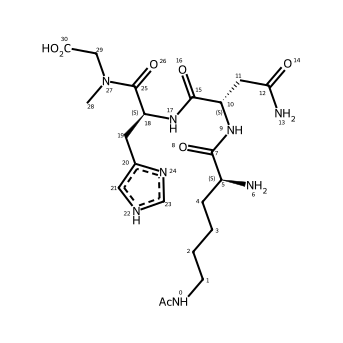 CC(=O)NCCCC[C@H](N)C(=O)N[C@@H](CC(N)=O)C(=O)N[C@@H](Cc1c[nH]cn1)C(=O)N(C)CC(=O)O